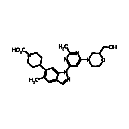 Cc1nc(N2CCOC(CO)C2)cc(-n2ncc3cc(C)c(C4CCN(C(=O)O)CC4)cc32)n1